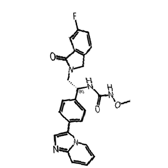 CONC(=O)N[C@@H](CN1Cc2ccc(F)cc2C1=O)c1ccc(-c2cnc3ccccn23)cc1